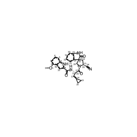 COc1cccc2[nH]c(C(=O)N[C@@H](C=C3CC3)C(=O)N3C[C@]4(C[C@H]3C#N)C(=O)Nc3ccccc34)cc12